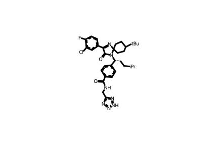 CC(C)CC[C@H](c1ccc(C(=O)NCc2nn[nH]n2)cc1)N1C(=O)C(c2ccc(F)c(Cl)c2)=NC12CCC(C(C)(C)C)CC2